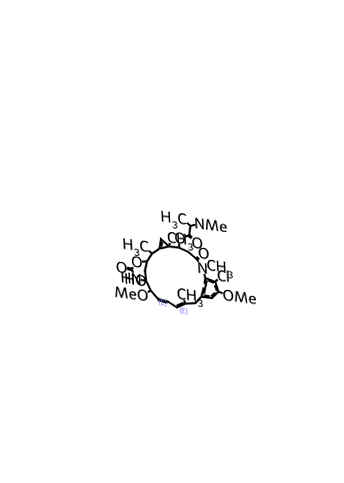 CNC(C)C(=O)OC1CC(=O)N(C)c2cc(cc(OC)c2Cl)C/C(C)=C/C=C/C(OC)C2(O)CC(OC(=O)N2)C(C)C2=CC21C